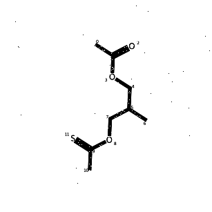 CC(=O)OCC(C)COC(C)=S